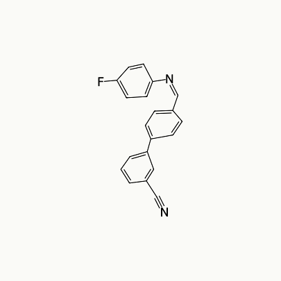 N#Cc1cccc(-c2ccc(/C=N\c3ccc(F)cc3)cc2)c1